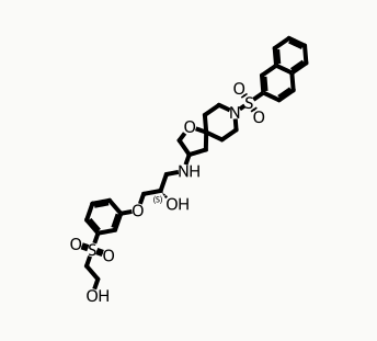 O=S(=O)(CCO)c1cccc(OC[C@@H](O)CNC2COC3(CCN(S(=O)(=O)c4ccc5ccccc5c4)CC3)C2)c1